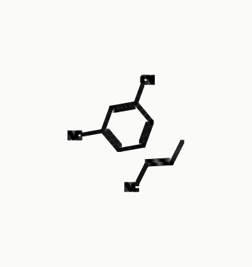 CC=CC#N.N#Cc1cccc(C#N)c1